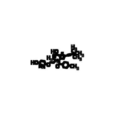 CC1CCC(C(=O)N(c2cc(C#CC(C)(C)C)sc2C(=O)O)[C@@H](C)CCOc2ccc(O)nn2)CC1